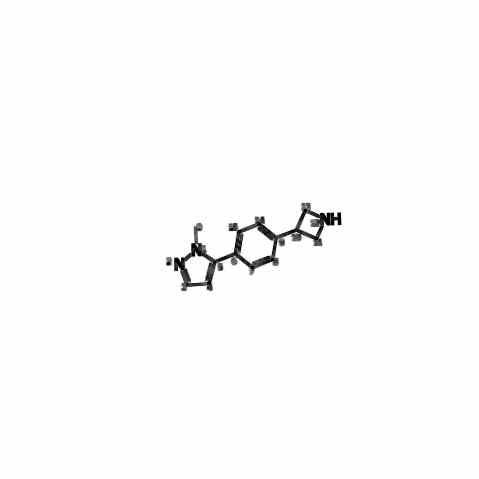 Cn1nccc1-c1ccc(C2CNC2)cc1